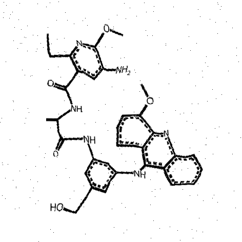 CCc1nc(OC)c(N)cc1C(=O)NC(C)C(=O)Nc1cc(CO)cc(Nc2c3ccccc3nc3c(OC)cccc23)c1